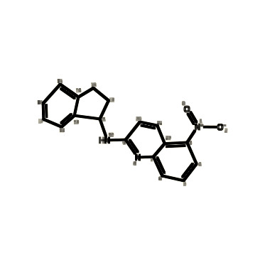 O=[N+]([O-])c1cccc2nc(NC3CCc4ccccc43)ccc12